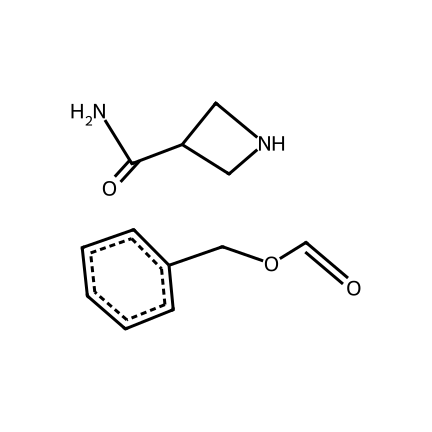 NC(=O)C1CNC1.O=COCc1ccccc1